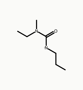 CCC[N]C(=O)N(C)CC